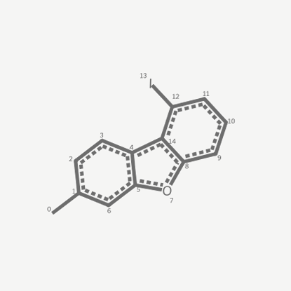 Cc1ccc2c(c1)oc1cccc(I)c12